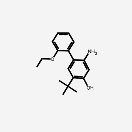 CCOc1ccccc1-c1cc(C(C)(C)C)c(O)cc1N